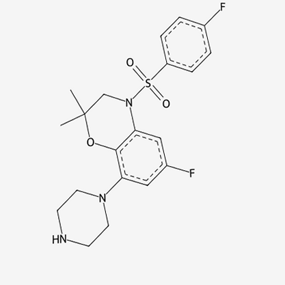 CC1(C)CN(S(=O)(=O)c2ccc(F)cc2)c2cc(F)cc(N3CCNCC3)c2O1